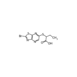 CCC(Sc1cnc2nc(Br)sc2n1)C(=O)O